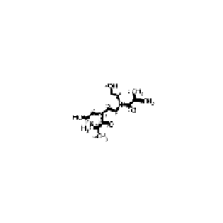 C=C(C)C(=O)N(CCO)CCN(CCO)C(=O)C(=C)C